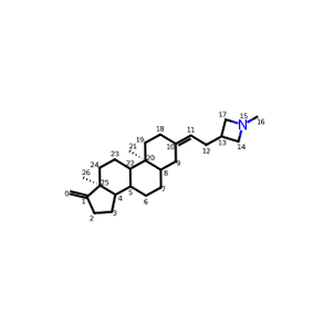 C=C1CCC2C3CCC4C/C(=C\CC5CN(C)C5)CC[C@]4(C)C3CC[C@]12C